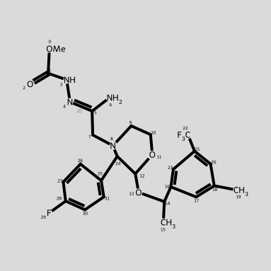 COC(=O)N/N=C(\N)CN1CCOC(OC(C)c2cc(C)cc(C(F)(F)F)c2)C1c1ccc(F)cc1